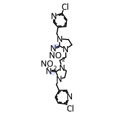 O=[N+]([O-])/N=C1\N(CCN2CCN(Cc3ccc(Cl)nc3)/C2=N/[N+](=O)[O-])CCN1Cc1ccc(Cl)nc1